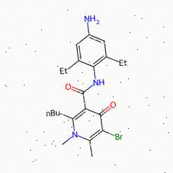 CCCCc1c(C(=O)Nc2c(CC)cc(N)cc2CC)c(=O)c(Br)c(C)n1C